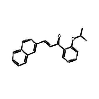 CC(C)Oc1ccccc1C(=O)C=Cc1ccc2ccccc2c1